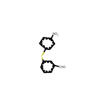 O=Cc1cccc(Sc2ccc([N+](=O)[O-])cc2)c1